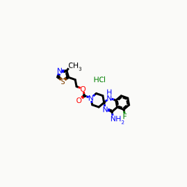 Cc1ncsc1CCOC(=O)N1CCC2(CC1)N=C(N)c1c(F)cccc1N2.Cl